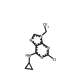 FC(F)(F)Cn1cnc2c(NC3CC3)nc(Cl)nc21